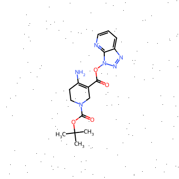 CC(C)(C)OC(=O)N1CCC(N)=C(C(=O)On2nnc3cccnc32)C1